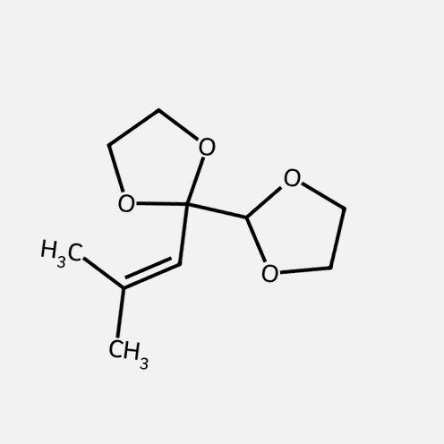 CC(C)=CC1(C2OCCO2)OCCO1